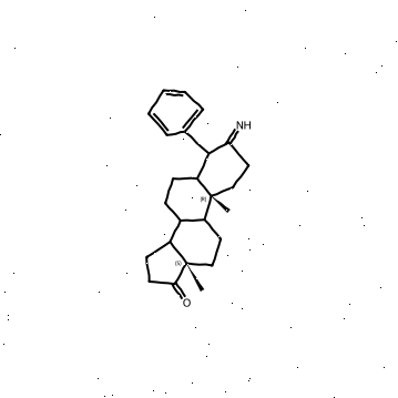 C[C@]12CCC(=N)C(c3ccccc3)C1CCC1C2CC[C@]2(C)C(=O)CCC12